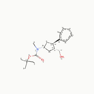 CN(C(=O)OC(C)(C)C)[C@H]1C[C@@H](CO)[C@H](c2ccccc2)C1